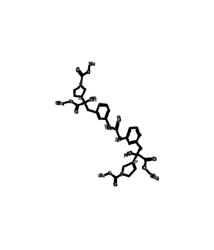 CC(C)(C)OC(=O)N1CC[C@H](C(O)(Cc2cccc(NC(=O)Nc3cccc(CC(O)(C(=O)OC(C)(C)C)[C@H]4CCN(C(=O)OC(C)(C)C)C4)c3)c2)C(=O)OC(C)(C)C)C1